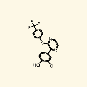 Oc1ccc(-c2nccnc2Sc2ccc(C(F)(F)F)cc2)cc1Cl